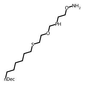 CCCCCCCCCCCCCCCCSCCOCPCCON